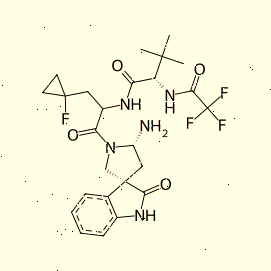 CC(C)(C)[C@H](NC(=O)C(F)(F)F)C(=O)NC(CC1(F)CC1)C(=O)N1C[C@]2(C[C@H]1N)C(=O)Nc1ccccc12